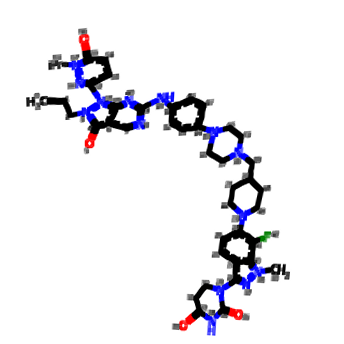 C=CCn1c(=O)c2cnc(Nc3ccc(N4CCN(CC5CCN(c6ccc7c(N8CCC(=O)NC8=O)nn(C)c7c6F)CC5)CC4)cc3)nc2n1-c1ccc(=O)n(C(C)C)n1